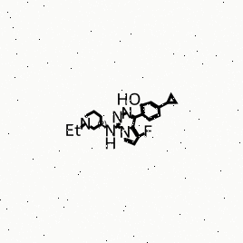 CCN1CCC[C@@H](Nc2nnc(-c3ccc(C4CC4)cc3O)c3c(F)ccn23)C1